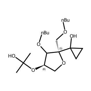 CCCCOC[C@]1(C2(O)CC2)OC[C@@H](OC(C)(C)O)C1OCCCC